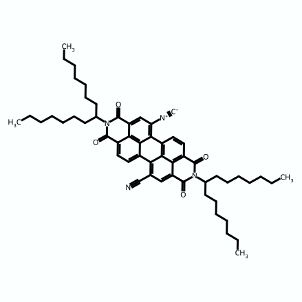 [C-]#[N+]c1cc2c3c(ccc4c5c(C#N)cc6c7c(ccc(c1c34)c75)C(=O)N(C(CCCCCCC)CCCCCCC)C6=O)C(=O)N(C(CCCCCCC)CCCCCCC)C2=O